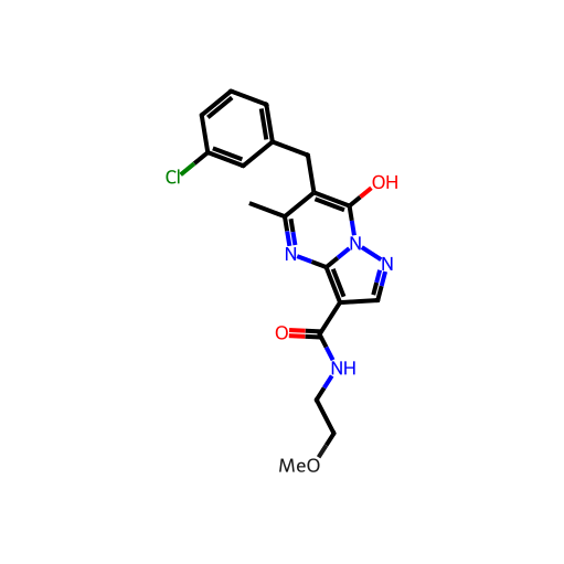 COCCNC(=O)c1cnn2c(O)c(Cc3cccc(Cl)c3)c(C)nc12